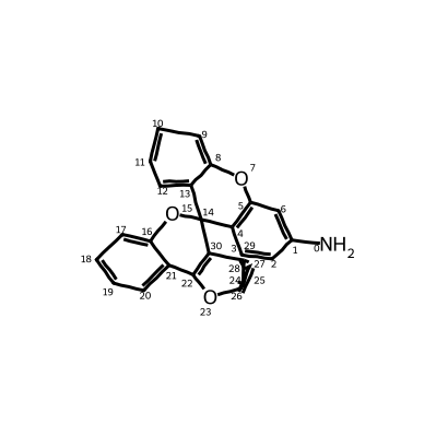 Nc1ccc2c(c1)Oc1ccccc1C21Oc2ccccc2-c2oc3ccccc3c21